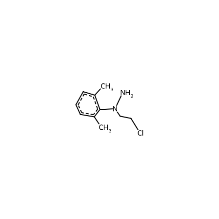 Cc1cccc(C)c1N(N)CCCl